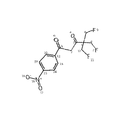 O=C(CC(=O)C(CF)(CF)CF)c1ccc([N+](=O)[O-])cc1